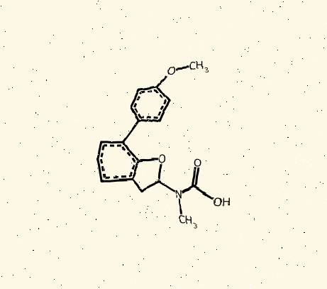 COc1ccc(-c2cccc3c2OC(N(C)C(=O)O)C3)cc1